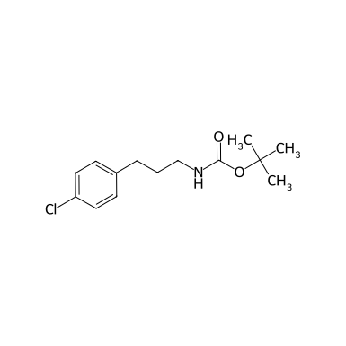 CC(C)(C)OC(=O)NCCCc1ccc(Cl)cc1